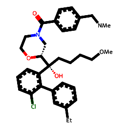 CCc1cccc(-c2c(Cl)cccc2[C@](O)(CCCCOC)[C@H]2CN(C(=O)c3ccc(CNC)cc3)CCO2)c1